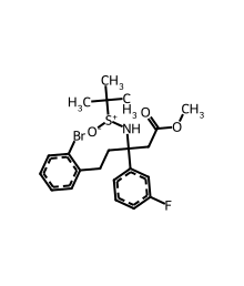 COC(=O)CC(CCc1ccccc1Br)(N[S+]([O-])C(C)(C)C)c1cccc(F)c1